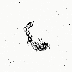 Cc1cc(Nc2nc(Nc3cc(C)c(C4CCN(C(=O)N5CCN(C)CC5)CC4)cc3F)ncc2Cl)n[nH]1